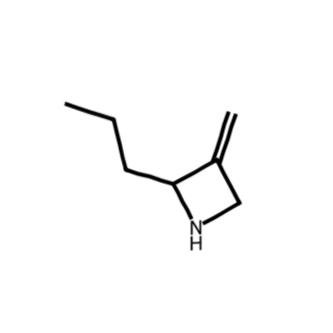 C=C1CNC1CCC